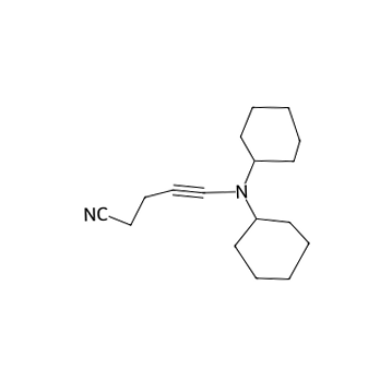 N#CCCC#CN(C1CCCCC1)C1CCCCC1